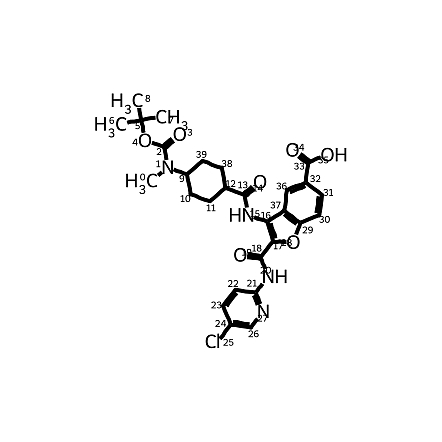 CN(C(=O)OC(C)(C)C)C1CCC(C(=O)Nc2c(C(=O)Nc3ccc(Cl)cn3)oc3ccc(C(=O)O)cc23)CC1